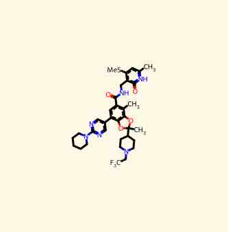 CSc1cc(C)[nH]c(=O)c1CNC(=O)c1cc(-c2cnc(N3CCCCC3)nc2)c2c(c1C)OC(C)(C1CCN(CC(F)(F)F)CC1)O2